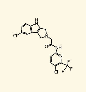 O=C(CN1Cc2[nH]c3ccc(Cl)cc3c2C1)Nc1ccc(Cl)c(C(F)(F)F)n1